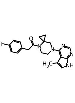 Cc1c[nH]c2ncnc(N3CCN(C(=O)Cc4ccc(F)cc4)C4(CC4)C3)c12